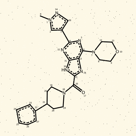 Cn1cc(-c2nc(N3CCOCC3)c3nc(C(=O)N4CCC(c5ccccc5)CC4)[nH]c3n2)cn1